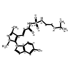 Cc1nn(C)c(-n2ccc3cc(Cl)ccc32)c1C=CC(=O)NS(=O)(=O)NCCOC(C)C